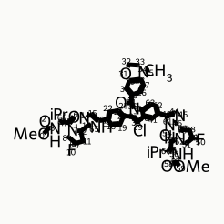 COC(=O)N[C@H](C(=O)N1C[C@H](F)CC1c1ncc(-c2ccc3c(c2)OC(c2ccc4c(c2)OCCN4C)n2c-3c(Cl)c3cc(-c4cnc([C@@H]5C[C@@H](F)CN5C(=O)[C@@H](NC(=O)OC)C(C)C)[nH]4)ccc32)[nH]1)C(C)C